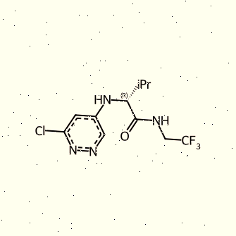 CC(C)[C@@H](Nc1cnnc(Cl)c1)C(=O)NCC(F)(F)F